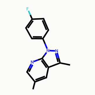 Cc1cnc2c(c1)c(C)nn2-c1ccc(F)cc1